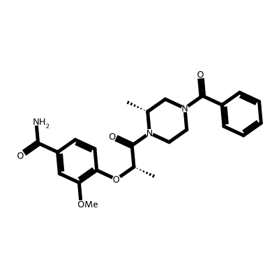 COc1cc(C(N)=O)ccc1O[C@@H](C)C(=O)N1CCN(C(=O)c2ccccc2)C[C@H]1C